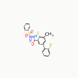 Cc1cc(-c2ccccc2F)cc(C(=O)NNS(=O)(=O)c2ccccc2)c1F